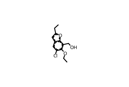 CCOc1c(Cl)cc2cc(CC)oc2c1CO